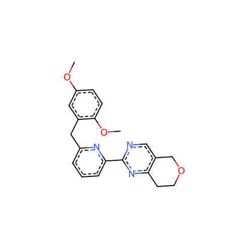 COc1ccc(OC)c(Cc2cccc(-c3ncc4c(n3)CCOC4)n2)c1